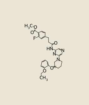 CCOc1ccccc1O[C@@H]1CCCN(c2cncc(NC(=O)CCc3ccc(C(=O)OC)c(F)c3)n2)C1